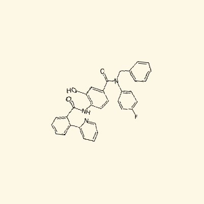 O=C(Nc1ccc(C(=O)N(Cc2ccccc2)c2ccc(F)cc2)cc1O)c1ccccc1-c1ccccn1